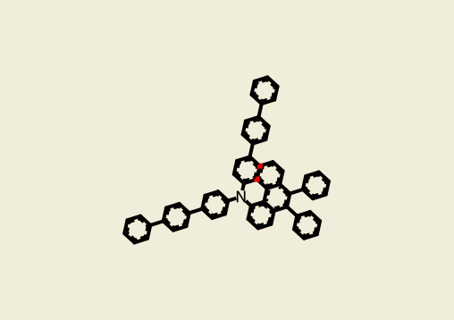 c1ccc(-c2ccc(-c3ccc(N(c4ccc(-c5ccc(-c6ccccc6)cc5)cc4)c4cccc5c(-c6ccccc6)c(-c6ccccc6)c6ccccc6c45)cc3)cc2)cc1